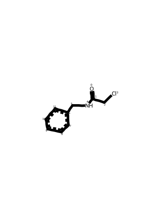 O=C([CH]Cl)NCc1ccccc1